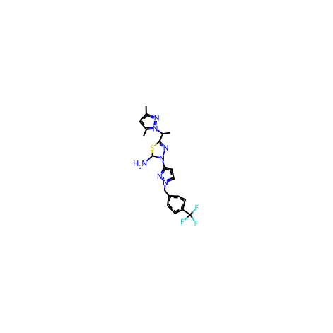 Cc1cc(C)n(C(C)C2=NN(c3ccn(Cc4ccc(C(F)(F)F)cc4)n3)C(N)S2)n1